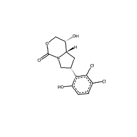 O=C1OC[C@H](O)[C@@H]2C[C@H](c3c(O)ccc(Cl)c3Cl)CN12